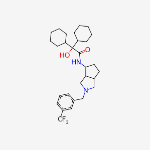 O=C(NC1CCC2CN(Cc3cccc(C(F)(F)F)c3)CC21)C(O)(C1CCCCC1)C1CCCCC1